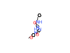 CCOc1ccc(NC(=O)c2ccnc(N3CCC(C(=O)NCCCc4ccccc4)CC3)c2)cc1